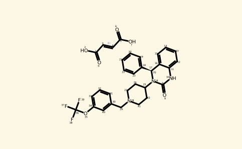 O=C(O)/C=C/C(=O)O.O=C1Nc2ccccc2[C@H](c2ccccc2)N1C1CCN(Cc2cccc(OC(F)(F)F)c2)CC1